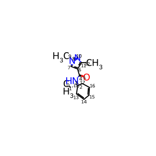 CC[C@@]1(NC(=O)c2cn(C)nc2C)C=CC=CC1